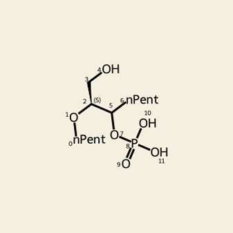 CCCCCO[C@@H](CO)C(CCCCC)OP(=O)(O)O